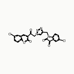 O=C1C(=O)N(Cc2cn(CC(=O)c3cc4cc(Cl)ccc4oc3=O)nn2)c2ccc(Cl)cc21